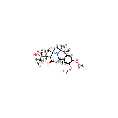 [2H]C1([2H])[C@H](C([2H])([2H])C(C)(O)C([2H])([2H])[2H])C(=O)C[C@H]2c3cc(OC)c(OC)cc3C([2H])([2H])C([2H])([2H])N21